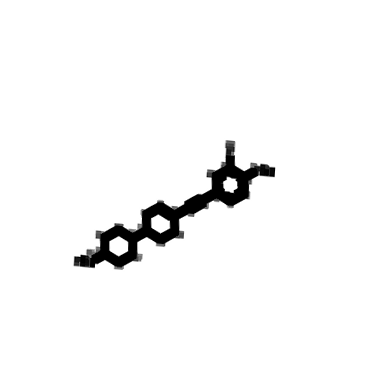 CCCCc1ccc(C#CC2=CCC(C3CCC(CCCC)CC3)CC2)cc1F